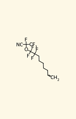 C=CCCCCCC(F)(F)C(F)(F)OC(F)(C#N)C(F)(F)F